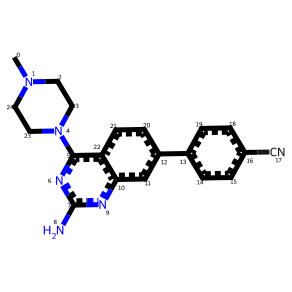 CN1CCN(c2nc(N)nc3cc(-c4ccc(C#N)cc4)ccc23)CC1